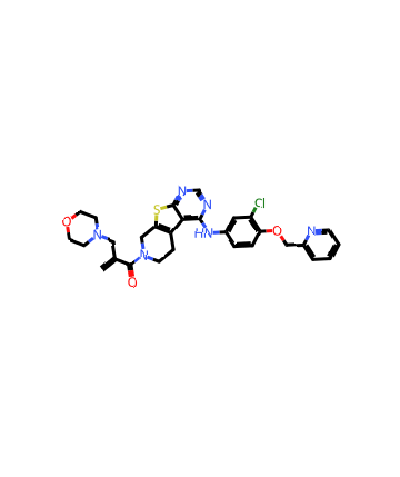 C=C(CN1CCOCC1)C(=O)N1CCc2c(sc3ncnc(Nc4ccc(OCc5ccccn5)c(Cl)c4)c23)C1